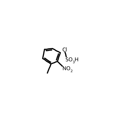 Cc1ccccc1[N+](=O)[O-].O=S(=O)(O)Cl